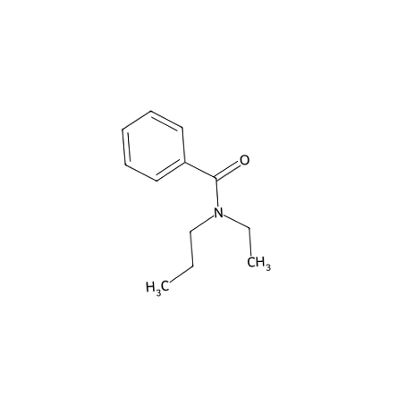 CCCN(CC)C(=O)c1ccccc1